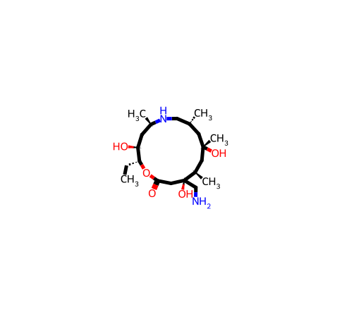 CC[C@H]1OC(=O)C[C@@](O)(CN)[C@H](C)C[C@@](C)(O)C[C@@H](C)CN[C@H](C)C[C@@H]1O